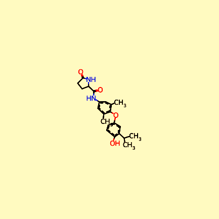 Cc1cc(NC(=O)C2CCC(=O)N2)cc(C)c1Oc1ccc(O)c(C(C)C)c1